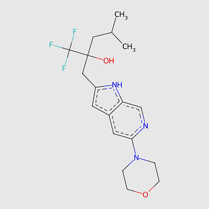 CC(C)CC(O)(Cc1cc2cc(N3CCOCC3)ncc2[nH]1)C(F)(F)F